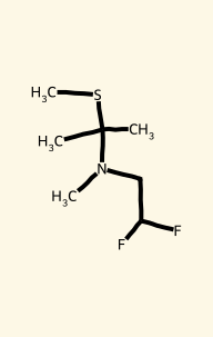 CSC(C)(C)N(C)CC(F)F